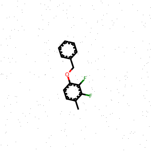 Cc1ccc(OCc2ccccc2)c(F)c1F